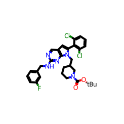 CC(C)(C)OC(=O)N1CCCC(Cn2c(-c3c(Cl)cccc3Cl)cc3cnc(NCc4cccc(F)c4)nc32)C1